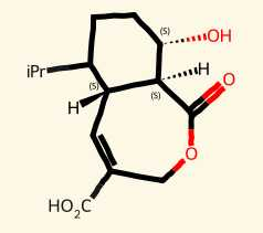 CC(C)C1CC[C@H](O)[C@H]2C(=O)OCC(C(=O)O)=C[C@H]12